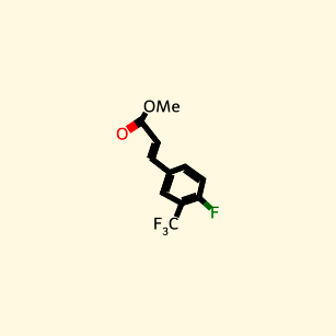 COC(=O)/C=C/c1ccc(F)c(C(F)(F)F)c1